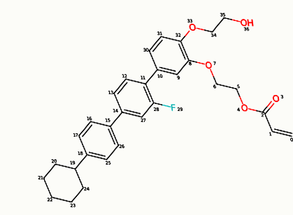 C=CC(=O)OCCOc1cc(-c2ccc(-c3ccc(C4CCCCC4)cc3)cc2F)ccc1OCCO